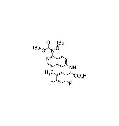 Cc1cc(C(Nc2ccc3c(N(OC(C)(C)C)C(=O)OC(C)(C)C)nccc3c2)C(=O)O)c(F)cc1F